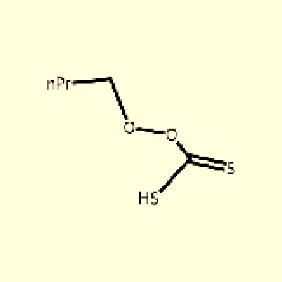 CCCCOOC(=S)S